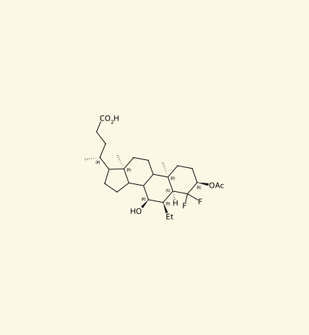 CC[C@@H]1[C@@H]2C(F)(F)[C@H](OC(C)=O)CC[C@]2(C)C2CC[C@@]3(C)C(CCC3[C@H](C)CCC(=O)O)C2[C@@H]1O